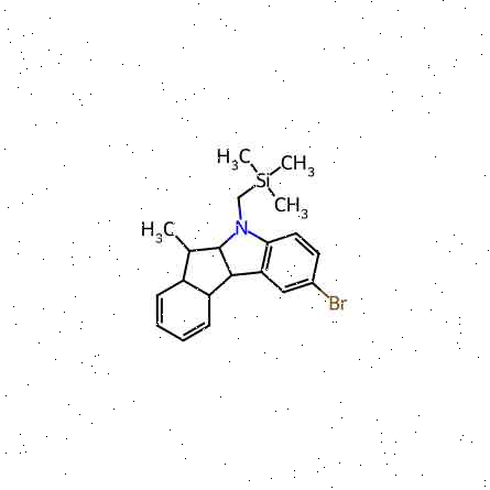 CC1C2C=CC=CC2C2c3cc(Br)ccc3N(C[Si](C)(C)C)C12